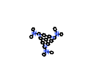 c1ccc(-c2nc(-c3ccc(-c4ccc(-c5ccccc5-c5cc(-c6ccccc6-c6ccc(-c7ccc(-c8nc(-c9ccccc9)nc(C9CCCCC9)n8)cn7)cc6)cc(-c6ccccc6-c6ccc(-c7ccc(-c8nc(-c9ccccc9)nc(C9CCCCC9)n8)cn7)cc6)c5)cc4)nc3)nc(C3CCCCC3)n2)cc1